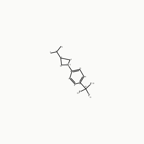 CC(C)C1CN(c2ccc(C(F)(F)F)cc2)C1